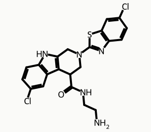 NCCNC(=O)C1CN(c2nc3ccc(Cl)cc3s2)Cc2[nH]c3ccc(Cl)cc3c21